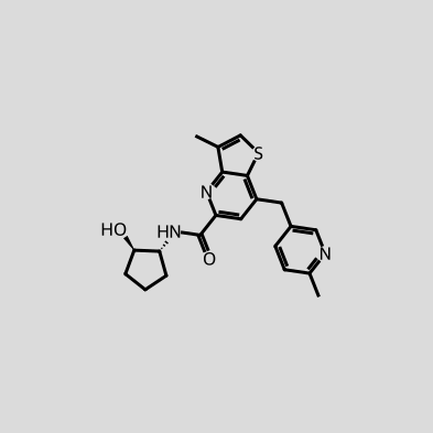 Cc1ccc(Cc2cc(C(=O)N[C@@H]3CCC[C@H]3O)nc3c(C)csc23)cn1